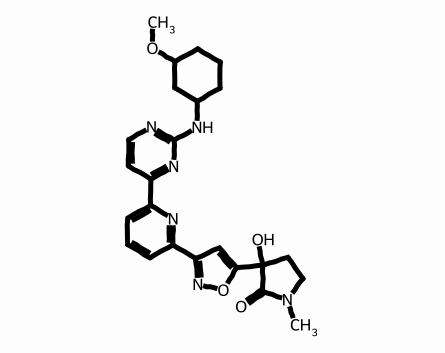 COC1CCCC(Nc2nccc(-c3cccc(-c4cc(C5(O)CCN(C)C5=O)on4)n3)n2)C1